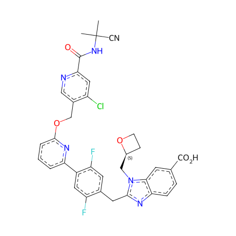 CC(C)(C#N)NC(=O)c1cc(Cl)c(COc2cccc(-c3cc(F)c(Cc4nc5ccc(C(=O)O)cc5n4C[C@@H]4CCO4)cc3F)n2)cn1